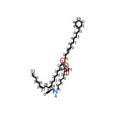 C#CCN(C)CCCCCCO[Si](C)(C)OC(CCCCCCC/C=C\C/C=C\CCCCC)OCCCCCCCCCCCC1CCCCC1